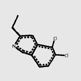 CCc1cc2c(Cl)c(Cl)ccc2cn1